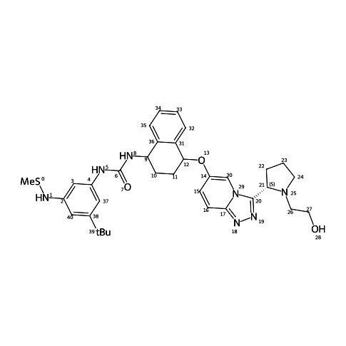 CSNc1cc(NC(=O)NC2CCC(Oc3ccc4nnc([C@@H]5CCCN5CCO)n4c3)c3ccccc32)cc(C(C)(C)C)c1